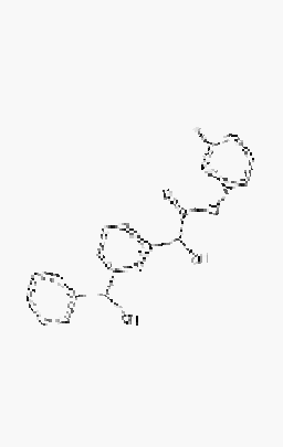 Cc1cccc(OC(=O)C(O)c2cccc(C(O)c3ccccc3)c2)c1